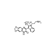 CC(=O)O.CCc1c(-c2nc3cc4c(cc3[nH]c2=O)OCO4)c2ccccc2n1CCCN